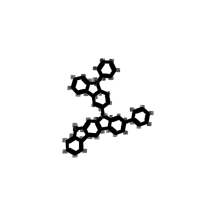 C1=CC2C(C=C1n1c3cc(-c4ccccc4)ccc3c3cc4c(cc31)oc1ccccc14)c1ccccc1N2c1ccccc1